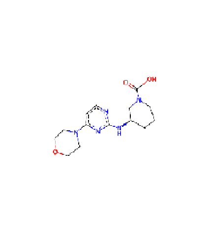 O=C(O)N1CCC[C@@H](Nc2nccc(N3CCOCC3)n2)C1